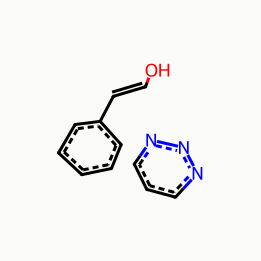 OC=Cc1ccccc1.c1cnnnc1